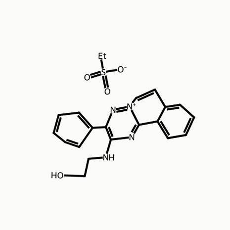 CCS(=O)(=O)[O-].OCCNc1nc2c3ccccc3cc[n+]2nc1-c1ccccc1